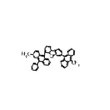 CC1C=Cc2c(c(-c3ccccc3)c3ccccc3c2C2=CC=CC3c4ccc(-c5c6ccccc6c(C(F)(F)F)c6ccccc56)cc4OC23)C1